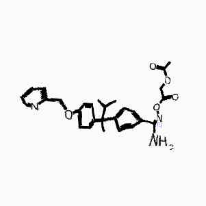 CC(=O)OCC(=O)O/N=C(/N)c1ccc(C(C)(c2ccc(OCc3ccccn3)cc2)C(C)C)cc1